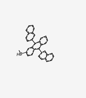 CBc1ccc2c(-c3ccc4ccccc4c3)c3ccccc3c(-c3ccc4ccccc4c3)c2c1